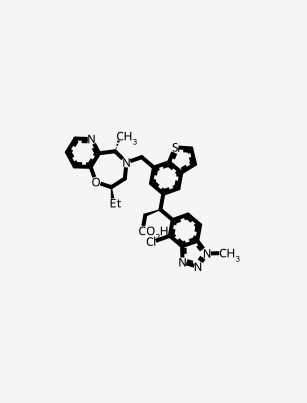 CC[C@@H]1CN(Cc2cc([C@H](CC(=O)O)c3ccc4c(nnn4C)c3Cl)cc3ccsc23)[C@@H](C)c2ncccc2O1